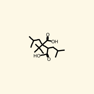 CC(C)CC(C(=O)O)C(CC(C)C)(C(=O)O)C(C)(C)C